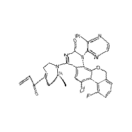 C=CC(=O)N1CCN(c2nc(=O)n(-c3nccnc3C(C)C)c3c4c(c(Cl)cc23)-c2c(F)cccc2CO4)[C@@H](C)C1